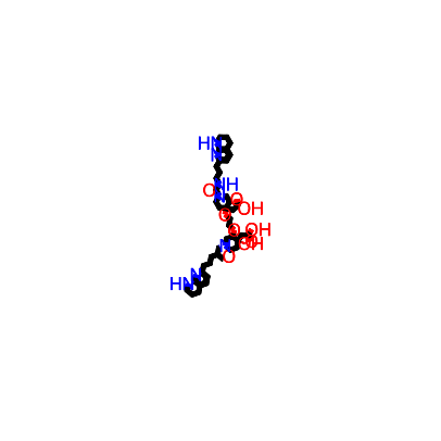 O=CC(CCCc1ccc2c(n1)NCCC2)CN1CC[C@@](O)(CC(=O)O)C(OCCOC2(CC(=O)O)CCN(C(=O)NCCCc3ccc4c(n3)NCCC4)CC2)C1